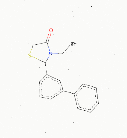 CC(C)CN1C(=O)CSC1c1cccc(-c2ccccc2)c1